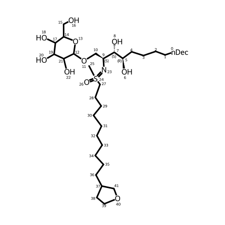 CCCCCCCCCCCCCC[C@@H](O)[C@@H](O)[C@H](COC1OC(CO)C(O)C(O)C1O)N=S(C)(=O)CCCCCCCCCCC1CCOC1